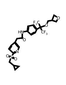 O=C(Cc1ccc(S(=O)(=O)CC2CC2)nc1)Nc1ccc(C(OCC2COC2)(C(F)(F)F)C(F)(F)F)cc1